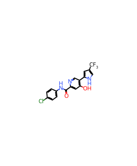 O=C(Nc1ccc(Cl)cc1)c1cc(O)c(-c2cc(C(F)(F)F)c[nH]2)cn1